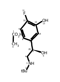 CC(=O)O.CC(C)(C)NC[C@H](O)c1ccc(F)c(O)c1